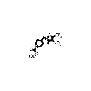 Cc1c([N+](=O)[O-])c(C(F)(F)F)nn1CC1CCN(C(=O)OC(C)(C)C)CC1